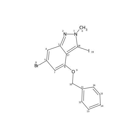 Cn1nc2cc(Br)cc(OCc3ccccc3)c2c1I